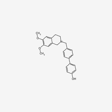 COc1cc2c(cc1OC)CN(Cc1ccc(-c3ccc(O)cc3)cc1)CC2